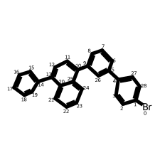 Brc1ccc(-c2cccc(-c3ccc(-c4ccccc4)c4ccccc34)c2)cc1